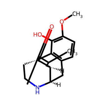 COc1ccc2c(c1O)[C@]13CCN[C@H](C2)[C@@H]1CC(C)C(=O)C3